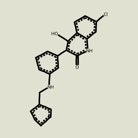 O=c1[nH]c2cc(Cl)ccc2c(O)c1-c1cccc(NCc2ccccc2)c1